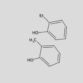 CCc1ccccc1O.Cc1ccccc1O